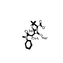 CN(C(=O)[C@@H](O)[C@@H]1C(=O)N2[C@@H]1SC(C)(C)[C@@H]2C(=O)[O-])C1CCCCC1.[Na+]